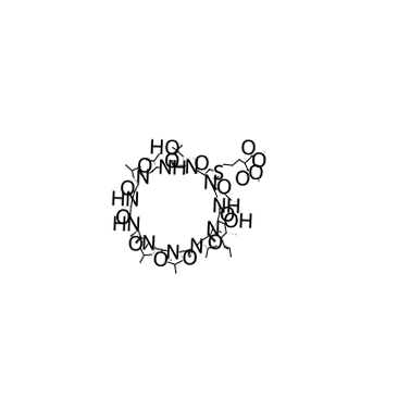 C/C=C/C[C@@H](C)[C@@H](O)[C@H]1C(=O)N[C@@H](CC)C(=O)N(C)[C@H](CSCCCC(C(=O)OC)C(=O)OC)C(=O)N(C)[C@@H](CC(C)(C)O)C(=O)N[C@@H](C(C)C)C(=O)N(C)[C@@H](CC(C)C)C(=O)N[C@@H](C)C(=O)N[C@H](C)C(=O)N(C)[C@@H](CC(C)C)C(=O)N(C)[C@@H](CC(C)C)C(=O)N(C)[C@@H](C(C)C)C(=O)N1C